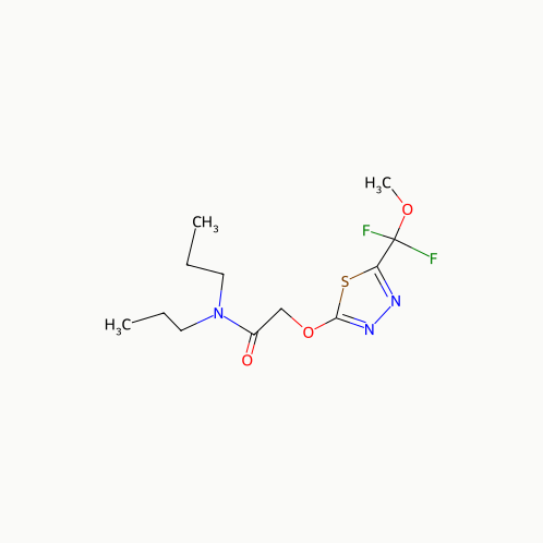 CCCN(CCC)C(=O)COc1nnc(C(F)(F)OC)s1